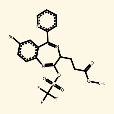 COC(=O)CCC1N=C(c2ccccn2)c2cc(Br)ccc2N=C1OS(=O)(=O)C(F)(F)F